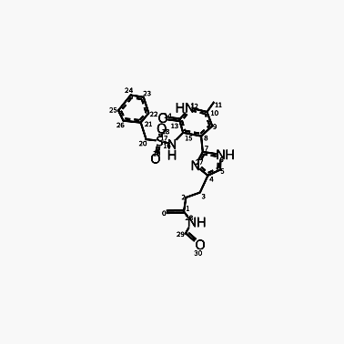 C=C(CCc1c[nH]c(-c2cc(C)[nH]c(=O)c2NS(=O)(=O)Cc2ccccc2)n1)NC=O